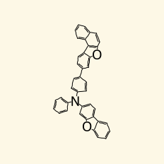 c1ccc(N(c2ccc(-c3ccc4c(c3)oc3ccc5ccccc5c34)cc2)c2ccc3c(c2)oc2ccccc23)cc1